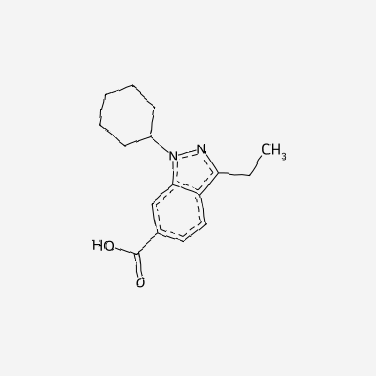 CCc1nn(C2CCCCC2)c2cc(C(=O)O)ccc12